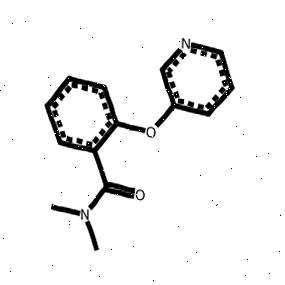 CN(C)C(=O)c1ccccc1Oc1cccnc1